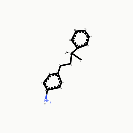 [CH2][C@](C)(CCc1ccc(N)cc1)c1ccccc1